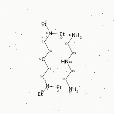 CCN(CC)CCOCCN(CC)CC.NCCNCCN